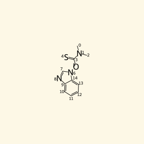 CN(C)C(=S)On1cnc2ccccc21